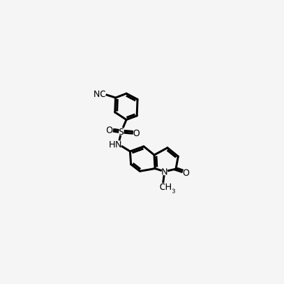 Cn1c(=O)ccc2cc(NS(=O)(=O)c3cccc(C#N)c3)ccc21